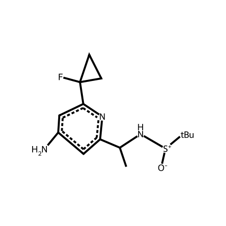 CC(N[S+]([O-])C(C)(C)C)c1cc(N)cc(C2(F)CC2)n1